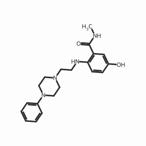 CNC(=O)c1cc(O)ccc1NCCN1CCN(c2ccccc2)CC1